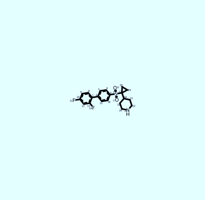 O=S(=O)(c1ccc(-c2ccc(F)cc2F)cc1)C1(C2CCNCC2)CC1